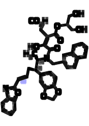 C[C@H]([C@H](C/C=C/c1nc2ccccc2o1)c1ccc2c(c1)OCO2)N(Cc1ccc2ccccc2c1)C(=O)C(O)=C(CC(=O)O)C(=O)OC(CO)CO